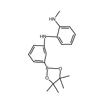 CNc1ccccc1Nc1cccc(B2OC(C)(C)C(C)(C)O2)c1